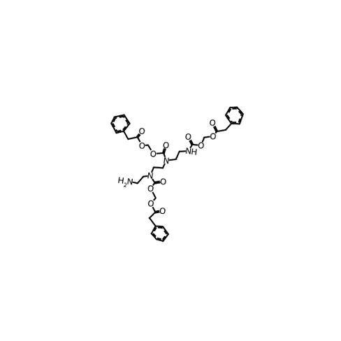 NCCN(CCN(CCNC(=O)OCOC(=O)Cc1ccccc1)C(=O)OCOC(=O)Cc1ccccc1)C(=O)OCOC(=O)Cc1ccccc1